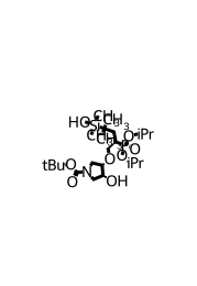 CC(C)OP(=O)(OC(C)C)[C@@H](CO[C@H]1CN(C(=O)OC(C)(C)C)C[C@@H]1O)CC(C)(C)[Si](C)(C)O